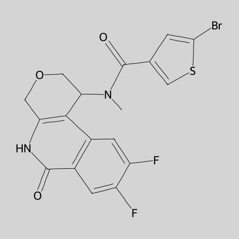 CN(C(=O)c1csc(Br)c1)C1COCc2[nH]c(=O)c3cc(F)c(F)cc3c21